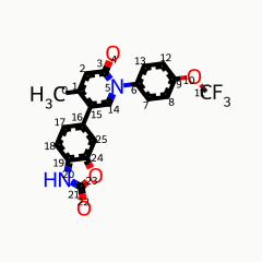 Cc1cc(=O)n(-c2ccc(OC(F)(F)F)cc2)cc1-c1ccc2[nH]c(=O)oc2c1